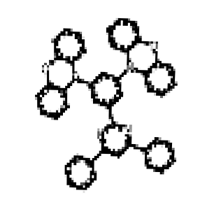 c1ccc(-c2cc(-c3ccccc3)nc(-c3cc(N4c5ccccc5Oc5ccccc54)cc(N4c5ccccc5Oc5ccccc54)c3)n2)cc1